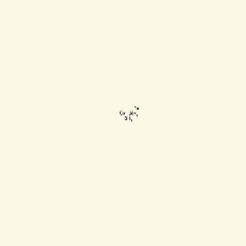 B.[AlH3].[Co].[Ta]